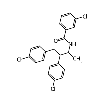 CC(NC(=O)c1cccc(Cl)c1)C(Cc1ccc(Cl)cc1)c1ccc(Cl)cc1